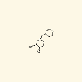 C#C[C@H]1CN(Cc2ccccc2)CCC1=O